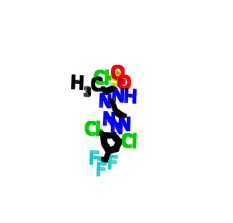 Cc1nc(-c2cnn(-c3c(Cl)cc(C(F)(F)F)cc3Cl)n2)[nH]c1S(=O)(=O)Cl